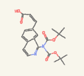 CC(C)(C)OC(=O)N(C(=O)OC(C)(C)C)c1nccc2ccc(/C=C\C(=O)O)cc12